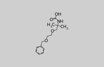 CC(C)(COCCOCc1ccccc1)NC(=O)O